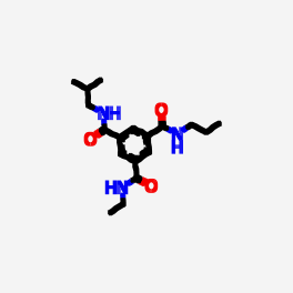 CCCNC(=O)c1cc(C(=O)NCC)cc(C(=O)NCC(C)C)c1